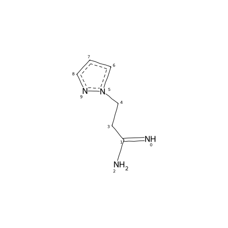 N=C(N)CCn1cccn1